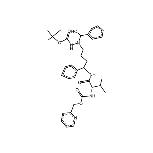 CC(C)[C@H](NC(=O)OCc1ccccn1)C(=O)NC(CCCN(NC(=O)OC(C)(C)C)C(O)c1ccccc1)c1ccccc1